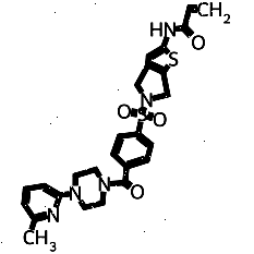 C=CC(=O)Nc1cc2c(s1)CN(S(=O)(=O)c1ccc(C(=O)N3CCN(c4cccc(C)n4)CC3)cc1)C2